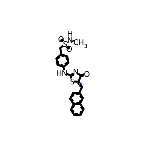 CNS(=O)(=O)Cc1ccc(NC2=NC(=O)/C(=C/c3ccc4ccccc4c3)S2)cc1